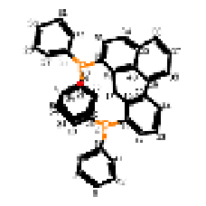 c1ccc(P(c2ccccc2)c2cccc3c2Cc2c(P(c4ccccc4)c4ccccc4)ccc4cccc-3c24)cc1